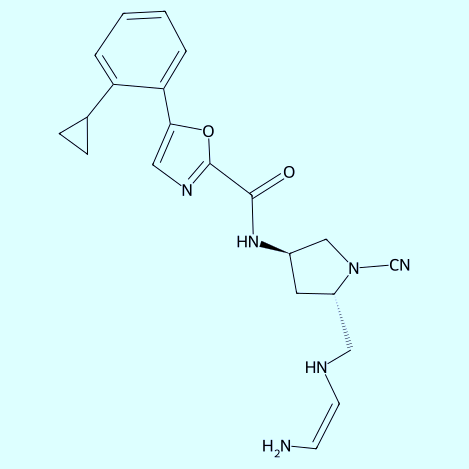 N#CN1C[C@H](NC(=O)c2ncc(-c3ccccc3C3CC3)o2)C[C@H]1CN/C=C\N